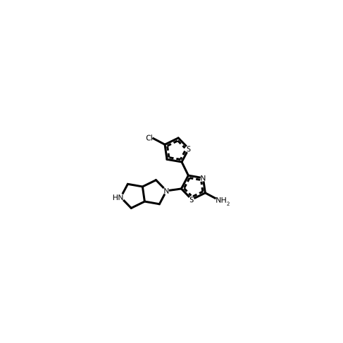 Nc1nc(-c2cc(Cl)cs2)c(N2CC3CNCC3C2)s1